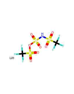 O=S(=O)(NS(=O)(=O)C(F)(F)F)OS(=O)(=O)C(F)(F)F.[LiH]